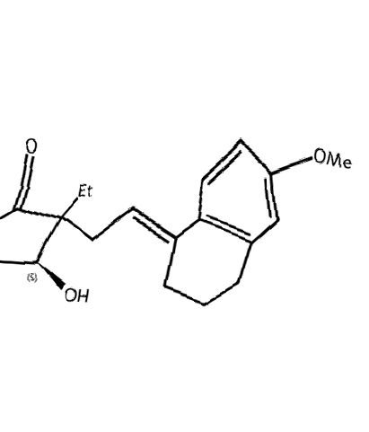 CCC1(CC=C2CCCc3cc(OC)ccc32)C(=O)CC[C@@H]1O